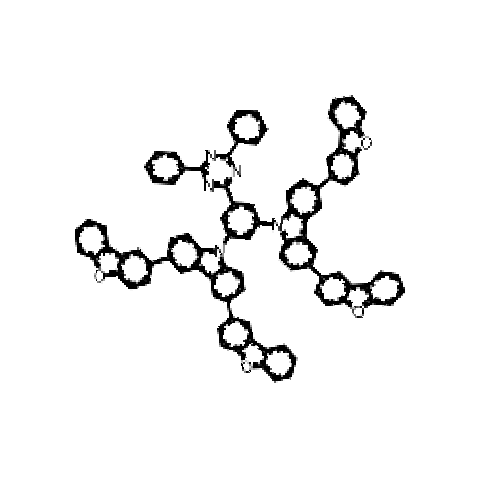 c1ccc(-c2nc(-c3ccccc3)nc(-c3cc(-n4c5ccc(-c6ccc7oc8ccccc8c7c6)cc5c5cc(-c6ccc7oc8ccccc8c7c6)ccc54)cc(-n4c5ccc(-c6ccc7oc8ccccc8c7c6)cc5c5cc(-c6ccc7oc8ccccc8c7c6)ccc54)c3)n2)cc1